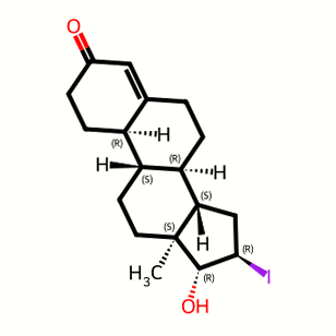 C[C@]12CC[C@H]3[C@@H](CCC4=CC(=O)CC[C@@H]43)[C@@H]1C[C@@H](I)[C@@H]2O